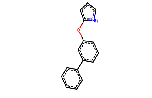 c1ccc(-c2cccc(Oc3ccc[nH]3)c2)cc1